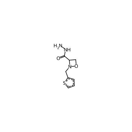 NNC(=O)C1CON1Cc1cccs1